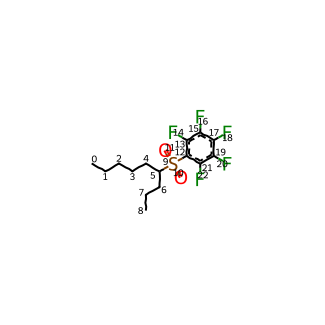 CCCCCC(CCC)S(=O)(=O)c1c(F)c(F)c(F)c(F)c1F